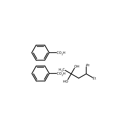 CCC(CC(C)(O)O)C(C)C.O=C(O)c1ccccc1.O=C(O)c1ccccc1